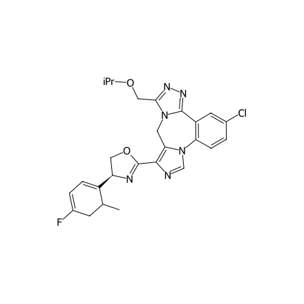 CC(C)OCc1nnc2n1Cc1c(C3=N[C@@H](C4=CC=C(F)CC4C)CO3)ncn1-c1ccc(Cl)cc1-2